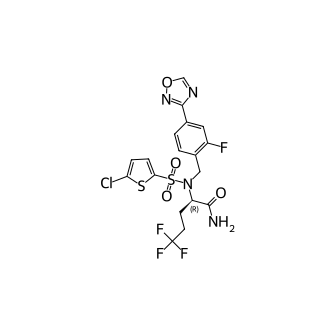 NC(=O)[C@@H](CCC(F)(F)F)N(Cc1ccc(-c2ncon2)cc1F)S(=O)(=O)c1ccc(Cl)s1